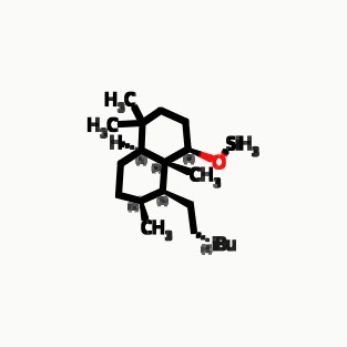 CC[C@@H](C)CC[C@H]1[C@@H](C)CC[C@H]2C(C)(C)CC[C@@H](O[SiH3])[C@]12C